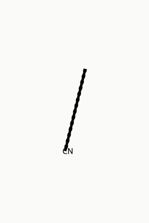 C#CC#CC#CC#CC#CC#CC#CC#CC#CC#CC#CC#CC#CC#CC#N